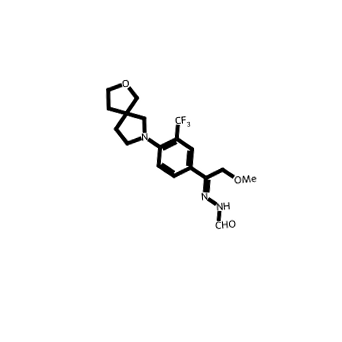 COC/C(=N\NC=O)c1ccc(N2CCC3(CCOC3)C2)c(C(F)(F)F)c1